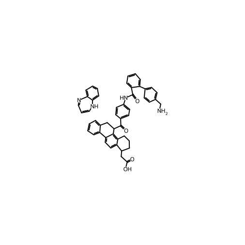 C1=CNc2ccccc2N=C1.NCc1ccc(-c2ccccc2C(=O)Nc2ccc(C(=O)C3Cc4ccccc4-c4ccc5c(c43)CCCC5CC(=O)O)cc2)cc1